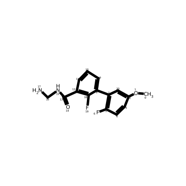 COc1ccc(F)c(-c2cccc(C(=O)NCN)c2F)c1